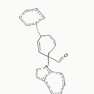 O=CC1(n2ccc3ccccc32)C=CC(c2ccccc2)C=C1